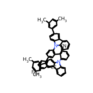 Cc1cc(C)cc(-c2ccc3c(c2)c2ccccc2n3-c2ccc(-c3ccc(C(F)(F)F)cc3C(F)(F)F)cc2-c2c(C#N)cccc2-n2c3ccccc3c3cc(-c4cc(C)cc(C)c4)ccc32)c1